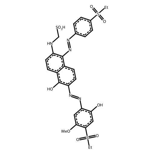 CCS(=O)(=O)c1ccc(/N=N/c2c(NCS(=O)(=O)O)ccc3c(O)c(/N=N/c4cc(OC)c(S(=O)(=O)CC)cc4O)ccc23)cc1